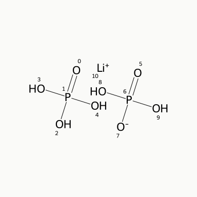 O=P(O)(O)O.O=P([O-])(O)O.[Li+]